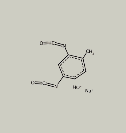 Cc1ccc(N=C=O)cc1N=C=O.[Na+].[OH-]